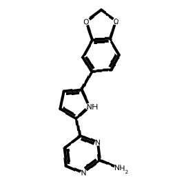 Nc1nccc(-c2ccc(-c3ccc4c(c3)OCO4)[nH]2)n1